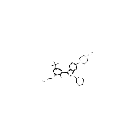 COCOc1cc(C(F)(F)F)cc(-c2nn(C3CCCCO3)c3cc(N4CCN(S(C)(=O)=O)CC4)ccc23)c1F